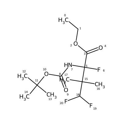 CCOC(=O)C(F)(NC(=O)OC(C)(C)C)C(C)(C)C(F)F